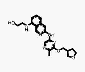 Cc1ncc(Nc2cc3cccc(NCCO)c3cn2)nc1OCC1CCOC1